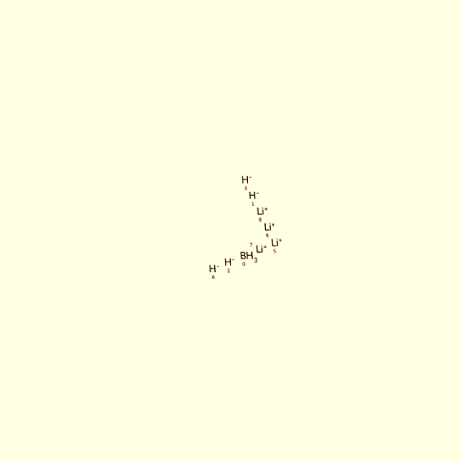 B.[H-].[H-].[H-].[H-].[Li+].[Li+].[Li+].[Li+]